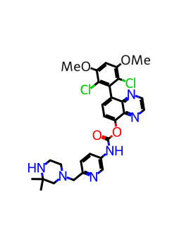 COc1cc(OC)c(Cl)c(-c2ccc(OC(=O)Nc3ccc(CN4CCNC(C)(C)C4)nc3)c3nccnc23)c1Cl